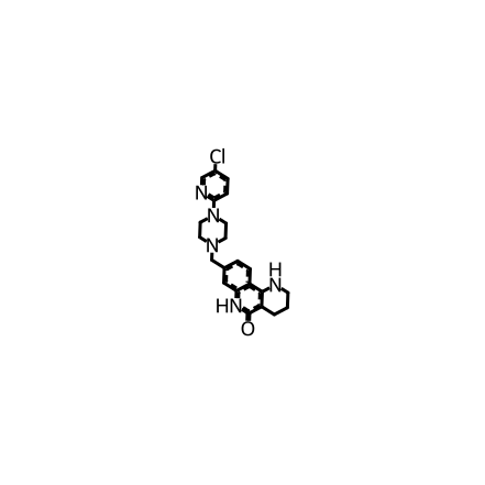 O=c1[nH]c2cc(CN3CCN(c4ccc(Cl)cn4)CC3)ccc2c2c1CCCN2